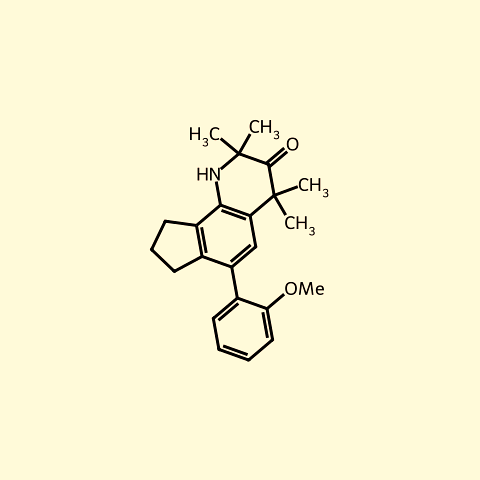 COc1ccccc1-c1cc2c(c3c1CCC3)NC(C)(C)C(=O)C2(C)C